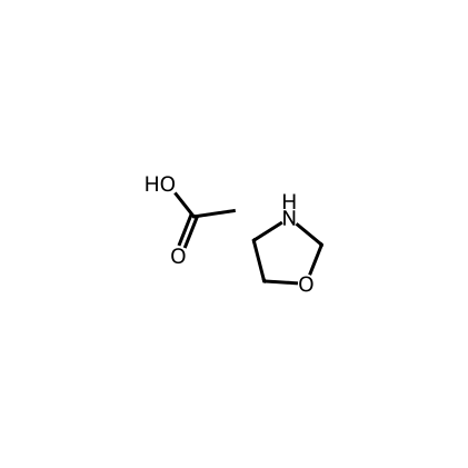 C1COCN1.CC(=O)O